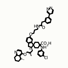 C[C@@H](COc1ccnc2c1[C@H](C)CCC2)C[C@H]1Cc2ccc(OCCCNC(=O)Cc3cccc(-c4ccnnc4)c3)cc2C12CCC(Nc1cccc(Cl)c1)(C(=O)O)CC2